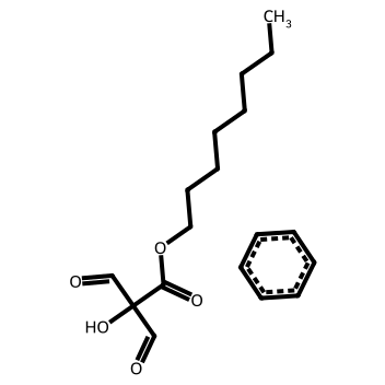 CCCCCCCCOC(=O)C(O)(C=O)C=O.c1ccccc1